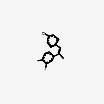 CC(=Cc1ccc(Cl)cc1)c1ccc(F)c(F)c1